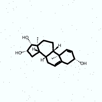 C[C@]12CC[C@H]3[C@@H](CC=C4C[C@@H](O)C=C[C@@]43C)[C@@H]1C[C@H](O)[C@@H]2O